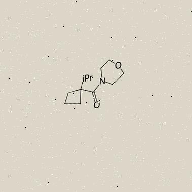 CC(C)C1(C(=O)N2CCOCC2)CCC1